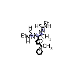 CCN/C(S)=N/N=C(/C(C)=N/N=C(\S)NCC)c1ccc([C@H](C)N2CCCCC2)o1